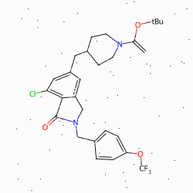 C=C(OC(C)(C)C)N1CCC(Cc2cc(Cl)c3c(c2)CN(Cc2ccc(OC(F)(F)F)cc2)C3=O)CC1